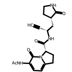 C#C[C@H](C[C@@H]1CCNC1=O)NC(=O)[C@@H]1CCc2ccc(NC(C)=O)c(=O)n21